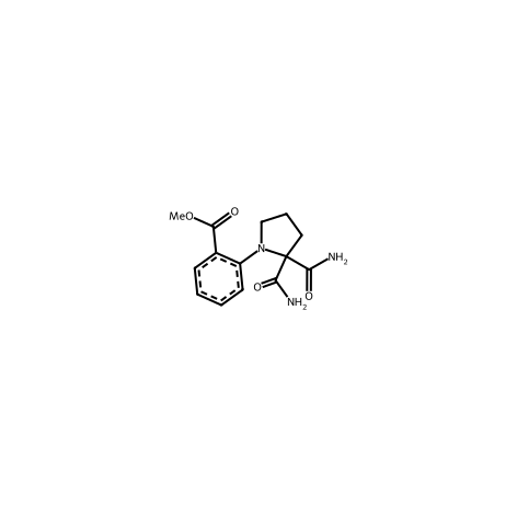 COC(=O)c1ccccc1N1CCCC1(C(N)=O)C(N)=O